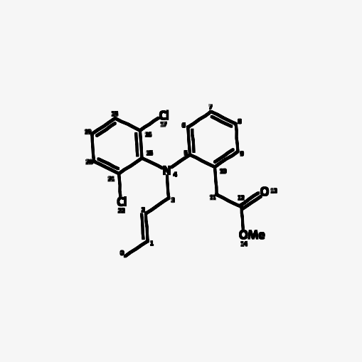 C/C=C/CN(c1ccccc1CC(=O)OC)c1c(Cl)cccc1Cl